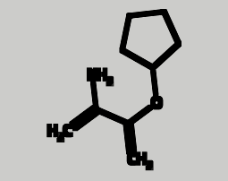 C=C(N)C(=C)OC1CCCC1